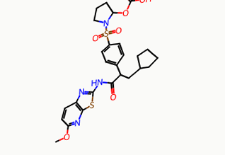 COc1ccc2nc(NC(=O)C(CC3CCCC3)c3ccc(S(=O)(=O)N4CCCC4OC(=O)O)cc3)sc2n1